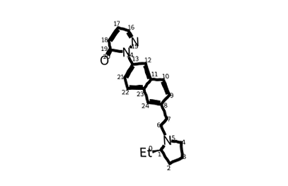 CC[C@@H]1CCCN1CCc1ccc2cc(-n3ncccc3=O)ccc2c1